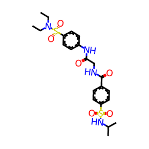 CCN(CC)S(=O)(=O)c1ccc(NC(=O)CNC(=O)c2ccc(S(=O)(=O)NC(C)C)cc2)cc1